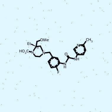 CC[C@@]1(COC)CN(Cc2ccc(F)c(NC(=O)Nc3ccc(C)nc3)c2)CCN1C(=O)O